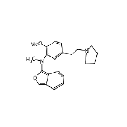 COc1ccc(CCN2CCCC2)cc1N(C)c1occ2ccccc12